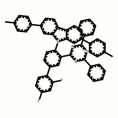 Cc1ccc(-c2ccc3c4ccc(-c5ccc(C)cc5)cc4n(-c4ccc(-c5ccc(F)cc5F)cc4-c4nc(-c5ccccc5)nc(-c5ccccc5)n4)c3c2)cc1